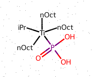 CCCCCCC[CH2][Ti]([CH2]CCCCCCC)([CH2]CCCCCCC)([CH](C)C)[P](=O)(O)O